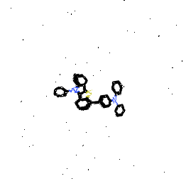 c1ccc(N(c2ccccc2)c2ccc(-c3cccc4c3sc3c5ccccc5n(-c5ccccc5)c43)cc2)cc1